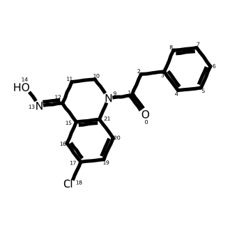 O=C(Cc1ccccc1)N1CCC(=NO)c2cc(Cl)ccc21